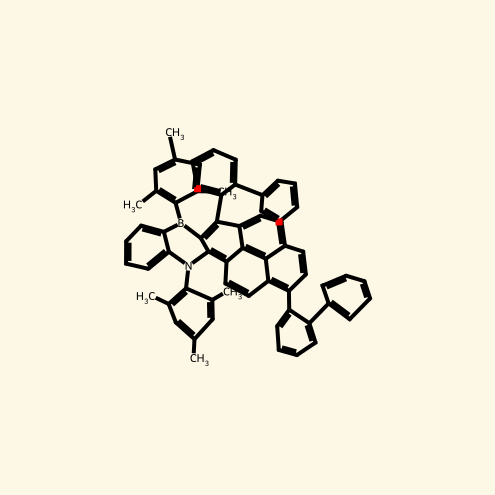 Cc1cc(C)c(B2c3ccccc3N(c3c(C)cc(C)cc3C)c3c2c(-c2ccccc2-c2ccccc2)c2ccc4ccc(-c5ccccc5-c5ccccc5)c5ccc3c2c45)c(C)c1